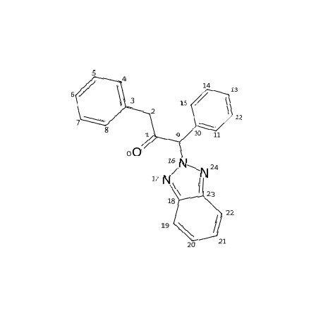 O=C(Cc1ccccc1)C(c1ccccc1)n1nc2ccccc2n1